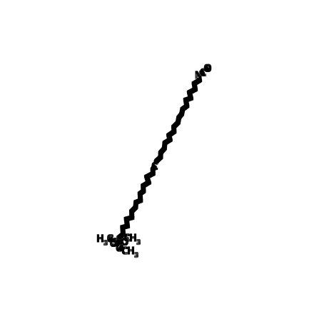 CO[Si](CCCCCCCCCCCCCCCCCCCCCCCCCCCCCCCCCCCCCCN=C=O)(OC)OC